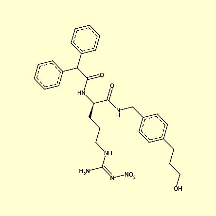 N/C(=N/[N+](=O)[O-])NCCC[C@@H](NC(=O)C(c1ccccc1)c1ccccc1)C(=O)NCc1ccc(CCCO)cc1